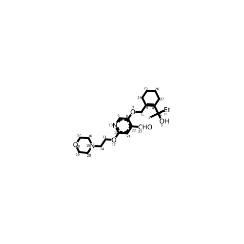 CCC(C)(O)C1=C(COc2cnc(OCCN3CCOCC3)cc2C=O)CCCC1